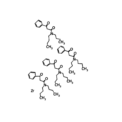 CCCCN(CCCC)C(=O)CC(=O)c1ccccc1.CCCCN(CCCC)C(=O)CC(=O)c1ccccc1.CCCCN(CCCC)C(=O)CC(=O)c1ccccc1.CCCCN(CCCC)C(=O)CC(=O)c1ccccc1.[Zr]